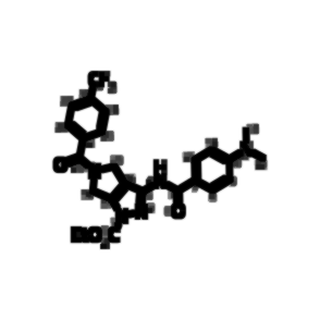 CCOC(=O)n1nc(NC(=O)c2ccc(N(C)C)cc2)c2c1CN(C(=O)c1ccc(C(F)(F)F)cc1)C2